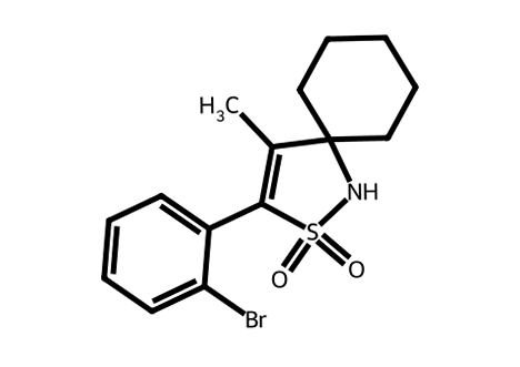 CC1=C(c2ccccc2Br)S(=O)(=O)NC12CCCCC2